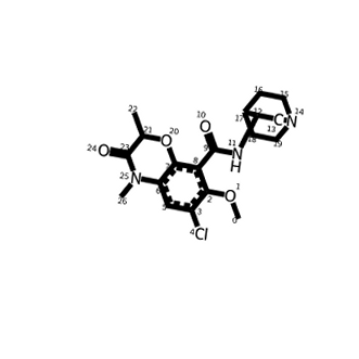 COc1c(Cl)cc2c(c1C(=O)NC1CN3CCC1CC3)OC(C)C(=O)N2C